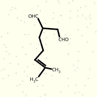 CC(C)=CCCC(C=O)CC=O